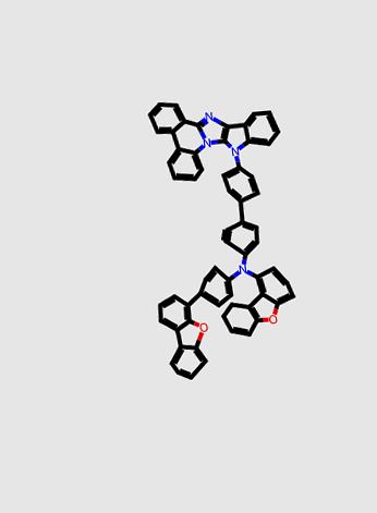 c1c(-c2ccc(-n3c4ccccc4c4nc5c6ccccc6c6ccccc6n5c43)cc2)ccc(N(c2ccc(-c3cccc4c3oc3ccccc34)cc2)c2cccc3oc4c(c23)CCC=C4)c#1